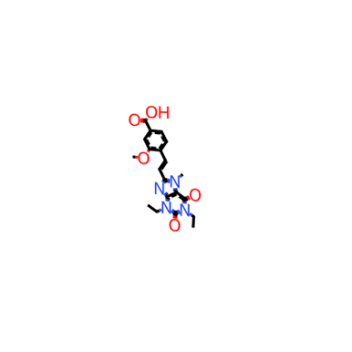 CCn1c(=O)c2c(nc(C=Cc3ccc(C(=O)O)cc3OC)n2C)n(CC)c1=O